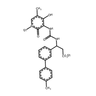 CCOC(=O)CC(NC(=O)Nc1c(O)c(C)cn(CC)c1=O)c1cccc(-c2ccc(C)cc2)c1